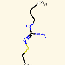 N/C(=N\SCC(=O)O)NCCC(=O)O